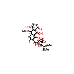 COc1c2c(c(O)c3c4c(c(C)cc13)C1OC3(C(SC)SC)OC1[C@@](O)(O4)[C@@]31CO1)C(=O)CC[C@@H]2O